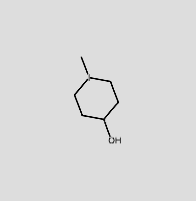 CI1CCC(O)CC1